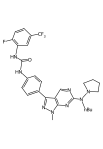 CCCCN(c1ncc2c(-c3ccc(NC(=O)Nc4cc(C(F)(F)F)ccc4F)cc3)nn(C)c2n1)N1CCCC1